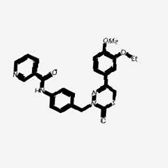 CCOc1cc(C2=NN(Cc3ccc(NC(=O)c4cccnc4)cc3)C(=O)SC2)ccc1OC